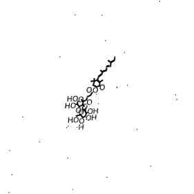 C/C=C(C)/C=C/C=C(C)/C=C/C1=C(C)C(=O)C(OC(=O)CCC(=O)C2OC(O)C(O)C(O)C2OC2OC(CO)C(O)C(O)C2O)CC1(C)C